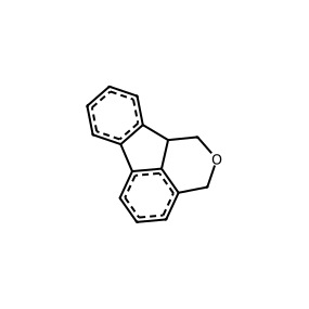 c1ccc2c(c1)-c1cccc3c1C2COC3